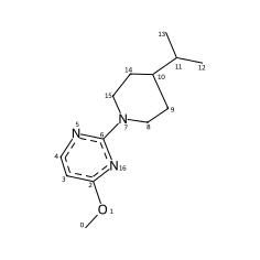 COc1ccnc(N2CCC(C(C)C)CC2)n1